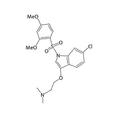 COc1ccc(S(=O)(=O)n2cc(OCCN(C)C)c3ccc(Cl)cc32)c(OC)c1